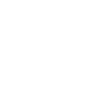 CC1(C)CC(C(=O)O)CN(C(=O)c2ccc(F)cc2)C1.[LiH]